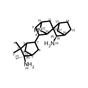 CC1(C)C2CC(CC2C2CC3CC4(C5CCC(C5)[C@H]4N)C2N3)[C@@]1(C)N